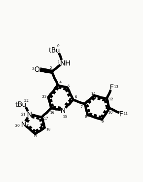 CC(C)(C)NC(=O)c1cc(-c2ccc(F)c(F)c2)nc(-c2ccnn2C(C)(C)C)c1